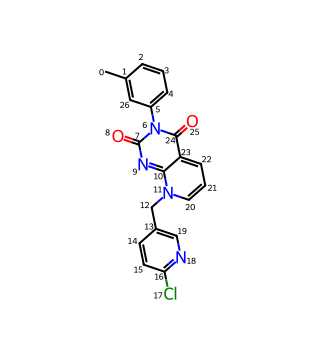 Cc1cccc(-n2c(=O)nc3n(Cc4ccc(Cl)nc4)cccc-3c2=O)c1